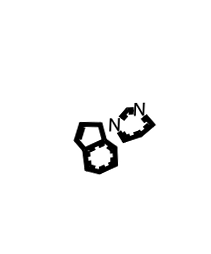 C1=Cc2ccccc2C1.c1cncnc1